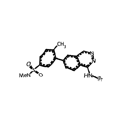 CNS(=O)(=O)c1ccc(C)c(-c2ccc3c(NC(C)C)nncc3c2)c1